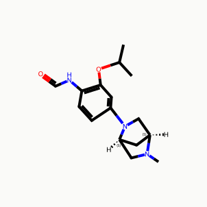 CC(C)Oc1cc(N2C[C@@H]3C[C@H]2CN3C)ccc1NC=O